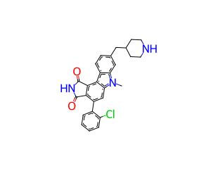 Cn1c2cc(CC3CCNCC3)ccc2c2c3c(c(-c4ccccc4Cl)cc21)C(=O)NC3=O